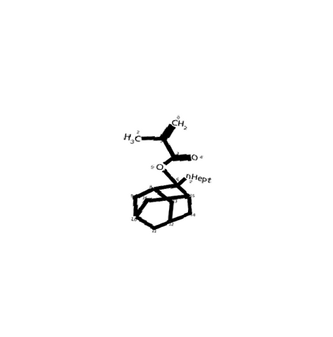 C=C(C)C(=O)OC1(CCCCCCC)C2CC3CC(C2)CC1C3